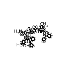 CC1=NC2=CN(C(=O)OC(c3ccccc3)c3ccccc3)NN2C(SCC2=C(C(=O)O)N3C(=O)[C@@H](NC(=O)C(=NOC(C(=O)OC(c4ccccc4)c4ccccc4)c4ccc(O)c(O)c4)c4csc(N)n4)[C@H]3SC2)=C1